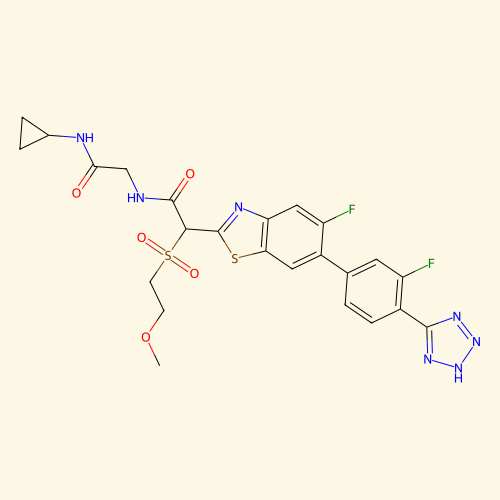 COCCS(=O)(=O)C(C(=O)NCC(=O)NC1CC1)c1nc2cc(F)c(-c3ccc(-c4nn[nH]n4)c(F)c3)cc2s1